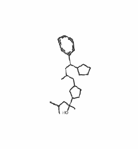 CC(C)CC(C)(O)C1CCC(CC(C)CC(c2ccccc2)C2CCCC2)C1